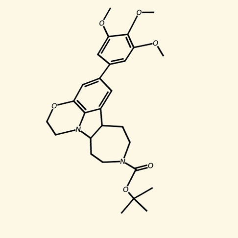 COc1cc(-c2cc3c4c(c2)C2CCN(C(=O)OC(C)(C)C)CCC2N4CCO3)cc(OC)c1OC